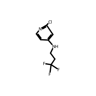 FC(F)(F)CCNc1ccnc(Cl)c1